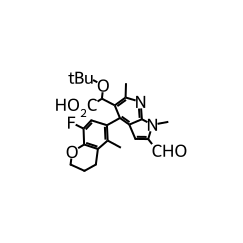 Cc1nc2c(cc(C=O)n2C)c(-c2cc(F)c3c(c2C)CCCO3)c1C(OC(C)(C)C)C(=O)O